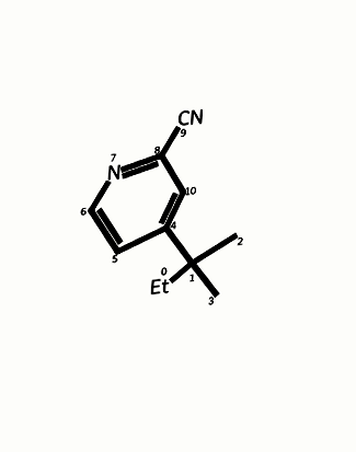 CCC(C)(C)c1ccnc(C#N)c1